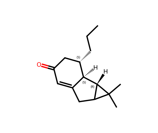 CCC[C@H]1CC(=O)C=C2CC3[C@H]([C@@H]21)C3(C)C